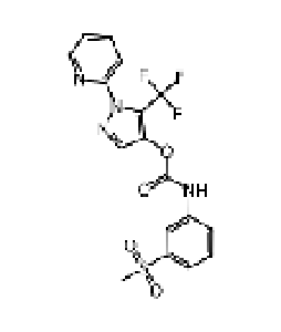 CS(=O)(=O)c1cccc(NC(=O)Oc2cnn(-c3ccccn3)c2C(F)(F)F)c1